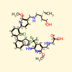 CC[C@H](CCO)CNCc1ccc(-c2cccc(-c3cccc4c3CC[C@@H]4Nc3nc(OC)c(CNCC(=O)O)cc3C(F)(F)F)c2Cl)nc1OC